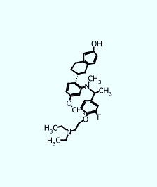 CCN(CC)CCOc1ccc(C(C)N(C)c2cc(OC)ccc2[C@@H]2CCc3cc(O)ccc3C2)cc1F